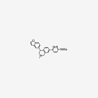 CNc1ccc(-c2ccc3c(c2)CN(C)CC3c2ccc3occc3c2)nn1